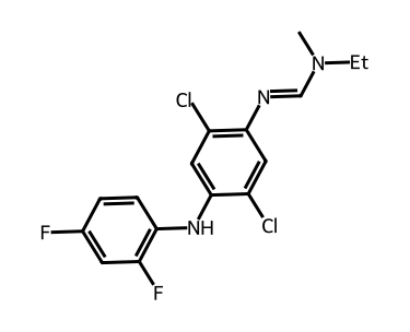 CCN(C)C=Nc1cc(Cl)c(Nc2ccc(F)cc2F)cc1Cl